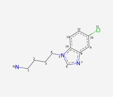 [N]CCCCn1cnc2cc(Cl)ccc21